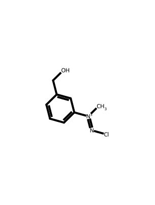 C/[N+](=N\Cl)c1cccc(CO)c1